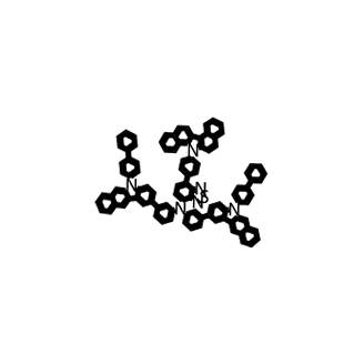 c1ccc(-c2ccc(-n3c4ccc(-c5cccc(N(c6cccc(-c7ccc8c(c7)c7cc9ccccc9cc7n8-c7ccc(-c8ccccc8)cc7)c6)c6ccc(-c7ccc(-n8c9ccc%10ccccc%10c9c9ccc%10ccccc%10c98)cc7)c7nsnc67)c5)cc4c4cc5ccccc5cc43)cc2)cc1